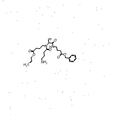 C=CCOC(=O)CCCN(C(=O)CCCN)C(C(=O)NCCCC(=O)OCc1ccccc1)C(C)C